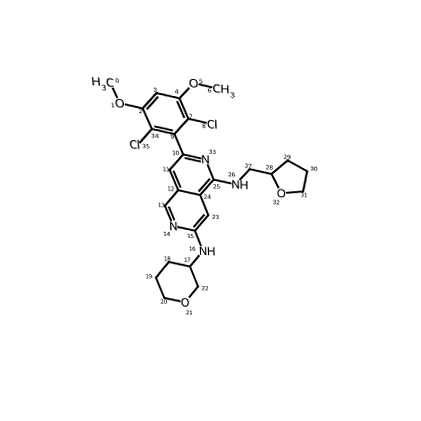 COc1cc(OC)c(Cl)c(-c2cc3cnc(NC4CCCOC4)cc3c(NCC3CCCO3)n2)c1Cl